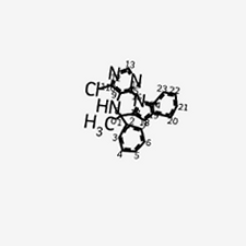 CC1(c2ccccc2)Nc2c(Cl)ncnc2-n2c1cc1ccccc12